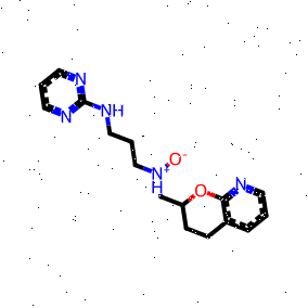 [O-][NH+](CCCNc1ncccn1)CC1CCc2cccnc2O1